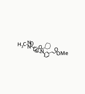 COC(=O)/C=C/c1cccc(N(CC23CCC(c4nc(C)no4)(CC2)CC3)C(=O)C2CCCCCC2)c1